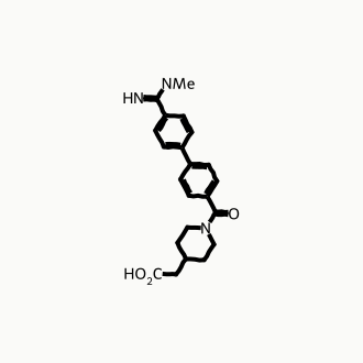 CNC(=N)c1ccc(-c2ccc(C(=O)N3CCC(CC(=O)O)CC3)cc2)cc1